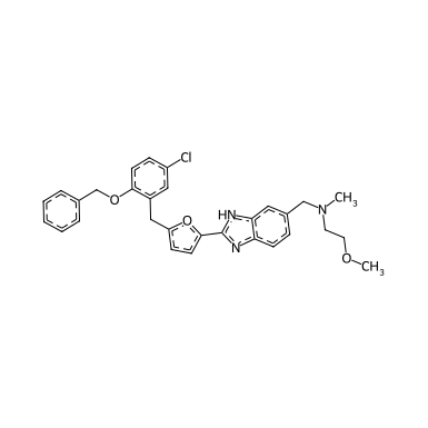 COCCN(C)Cc1ccc2nc(-c3ccc(Cc4cc(Cl)ccc4OCc4ccccc4)o3)[nH]c2c1